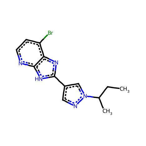 CCC(C)n1cc(-c2nc3c(Br)ccnc3[nH]2)cn1